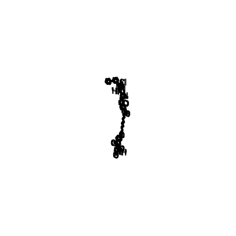 O=C1CCC(N2Cc3cc(OCCCCCCCCCC(=O)N4CCC5(CC4)CCN(c4cncc(Nc6ncc(Cl)c(-c7cccc(-c8ccccc8)c7)n6)c4)C5=O)ccc3C2=O)C(=O)N1